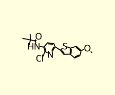 COc1ccc2cc(-c3ccc(NC(=O)C(C)(C)C)c(Cl)n3)sc2c1